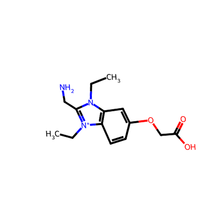 CCn1c(CN)[n+](CC)c2ccc(OCC(=O)O)cc21